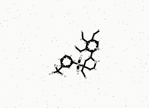 CCc1cnc(C2CC(CC)(S(=O)(=O)c3cccc(C(F)(F)F)c3)CCO2)c(CC)c1CC